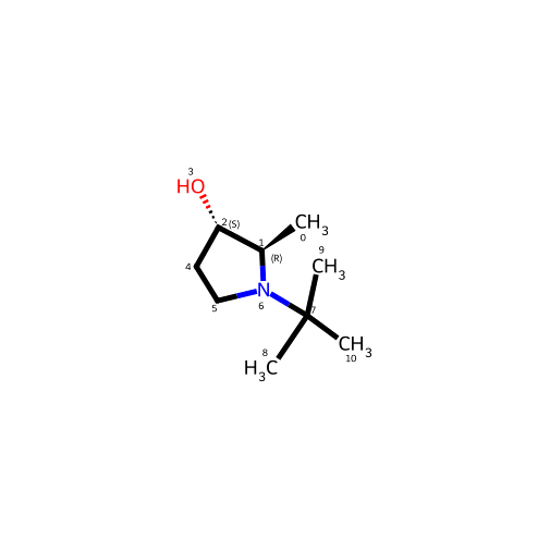 C[C@@H]1[C@@H](O)CCN1C(C)(C)C